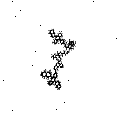 c1cc(-c2ccc3c4cccnc4c4nc(C5Cc6ccc(-c7ccc8c(-c9ccc%10ccccc%10c9)c9ccccc9c(-c9ccc%10ccccc%10c9)c8c7)nc6-c6ccccc65)ccc4c3n2)cc(-c2cc(-c3ccc(-c4c5ccccc5c(-c5ccc6ccccc6c5)c5ccccc45)cc3)nc3c2ccc2cccnc23)c1